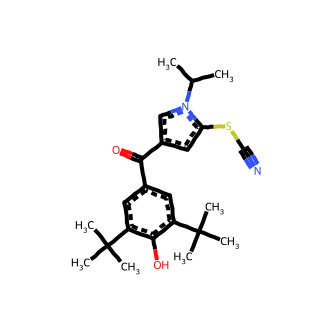 CC(C)n1cc(C(=O)c2cc(C(C)(C)C)c(O)c(C(C)(C)C)c2)cc1SC#N